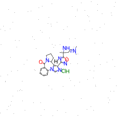 CN(C)CCC(C)(N)c1nc(-c2ncn3c2[C@@H]2CCCN2C(=O)c2ccccc2-3)no1.Cl